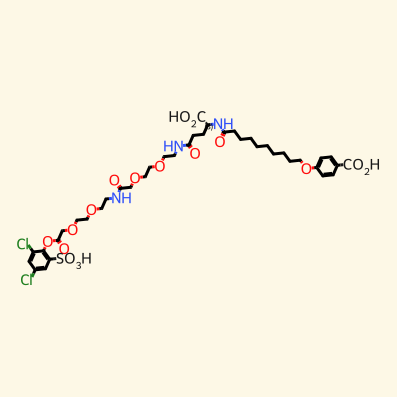 O=C(CC[C@H](NC(=O)CCCCCCCCCOc1ccc(C(=O)O)cc1)C(=O)O)NCCOCCOCC(=O)NCCOCCOCC(=O)Oc1c(Cl)cc(Cl)cc1S(=O)(=O)O